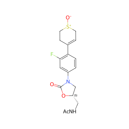 CC(=O)NC[C@H]1CN(c2ccc(C3=CC[S+]([O-])CC3)c(F)c2)C(=O)O1